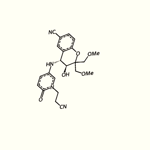 COCC1(COC)Oc2ccc(C#N)cc2[C@@H](Nc2ccc(=O)n(CCC#N)c2)[C@@H]1O